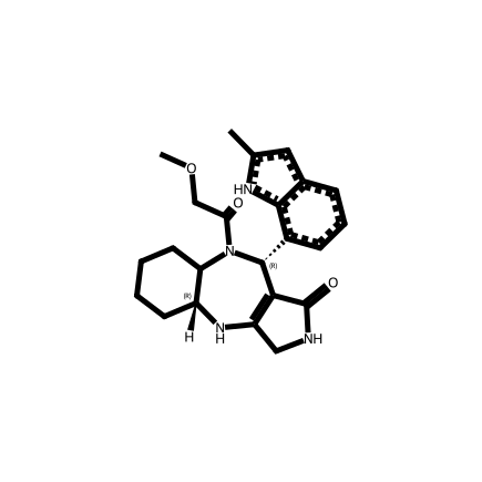 COCC(=O)N1C2CCCC[C@H]2NC2=C(C(=O)NC2)[C@H]1c1cccc2cc(C)[nH]c12